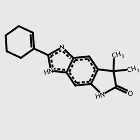 CC1(C)C(=O)Nc2cc3[nH]c(C4=CCCCC4)nc3cc21